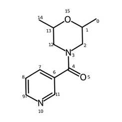 CC1CN(C(=O)c2cc[c]nc2)CC(C)O1